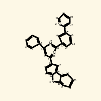 c1ccc(-c2cc(-c3ccc4sc5ccccc5c4c3)nc(-c3cccc(-c4ccccn4)c3)n2)cc1